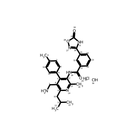 Cc1ccc(-c2c(CN)c(CC(C)C)nc(C)c2NC(=O)c2cccc(-c3noc(=O)[nH]3)c2)cc1.Cl.Cl